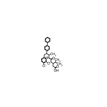 CC(C)C(CC(=O)O)CC(=O)NC(C)C(Cc1ccc(Cl)c(Cl)c1)c1ccc(-c2ccccc2)cc1